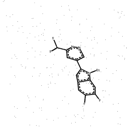 CCn1c(-c2cnnc(C(F)F)c2)cc2cc(F)c(F)cc21